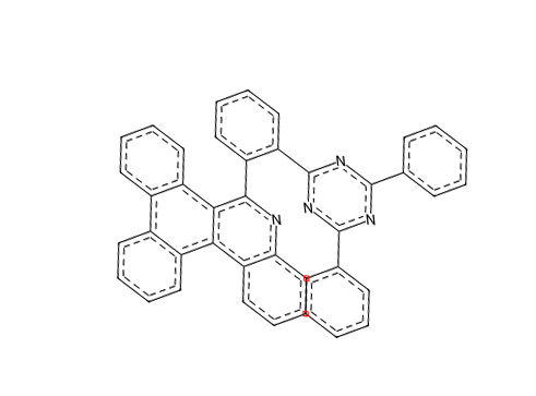 c1ccc(-c2nc(-c3ccccc3)nc(-c3ccccc3-c3nc4ccccc4c4c5ccccc5c5ccccc5c34)n2)cc1